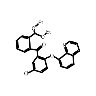 CCOC(OCC)c1ccccc1C(=O)c1cc(Cl)ccc1Oc1cccc2cccnc12